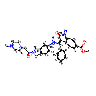 COC(=O)c1ccc2c(c1)NC(=O)/C2=C(\Nc1ccc2c(c1)CN(C(=O)CN1CCN(C)CC1)C2)c1ccc(F)cc1